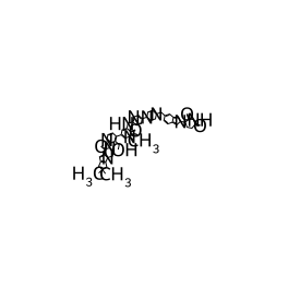 Cn1cc(-c2ccnc(N3CCn4c(cc5c4CC(C)(C)C5)C3=O)c2CO)cc(Nc2ccc(N3CCN(Cc4ccc5cn(C6CCC(=O)NC6=O)cc5c4)CC3)cn2)c1=O